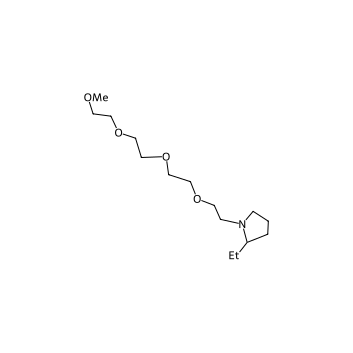 CCC1CCCN1CCOCCOCCOCCOC